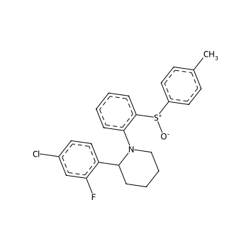 Cc1ccc([S+]([O-])c2ccccc2N2CCCCC2c2ccc(Cl)cc2F)cc1